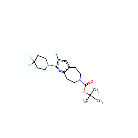 CC(C)(C)OC(=O)N1CCc2cc(Cl)c(N3CCC(F)(F)CC3)nc2CC1